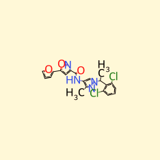 Cc1nn(C(C)c2c(Cl)cccc2Cl)cc1NC(=O)c1cc(-c2ccco2)on1